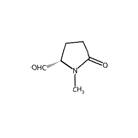 CN1C(=O)CC[C@H]1[C]=O